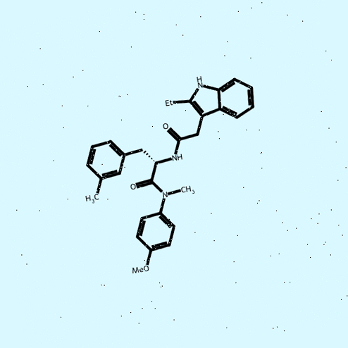 CCc1[nH]c2ccccc2c1CC(=O)N[C@@H](Cc1cccc(C)c1)C(=O)N(C)c1ccc(OC)cc1